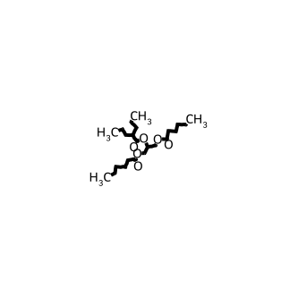 CCCCCC(=O)OCC(COC(=O)CCCCC)OC(=O)C(CCC)CCC